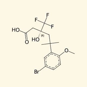 COc1ccc(Br)cc1C(C)(C)C[C@@](O)(CC(=O)O)C(F)(F)F